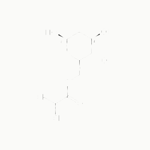 O=C(OCC1O[C@@H](O)C[C@@H](O)[C@@H]1O)C(Cl)Cl